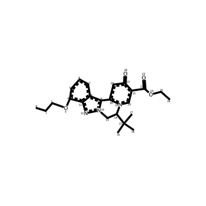 CCCOc1cccc2c3n(nc12)CC(C(C)(C)C)n1cc(C(=O)OCC)c(=O)cc1-3